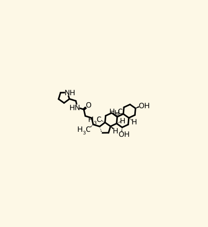 C[C@H](CCC(=O)NCC1CCCN1)[C@H]1CC[C@H]2[C@@H]3[C@@H](O)C[C@@H]4C[C@H](O)CC[C@]4(C)[C@H]3CC[C@]12C